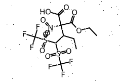 CCOC(=O)C(C(=O)O)(C(CC)C(S(=O)(=O)C(F)(F)F)S(=O)(=O)C(F)(F)F)[N+](=O)[O-]